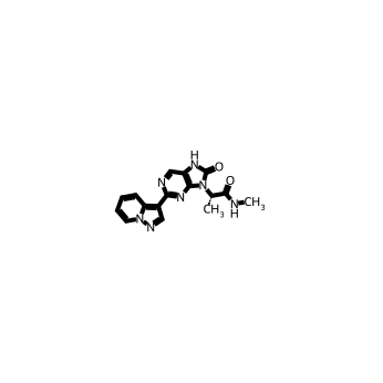 CNC(=O)[C@H](C)n1c(=O)[nH]c2cnc(-c3cnn4ccccc34)nc21